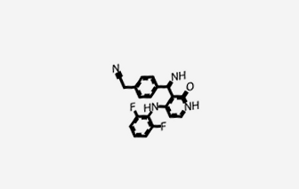 N#CCc1ccc(C(=N)c2c(Nc3c(F)cccc3F)cc[nH]c2=O)cc1